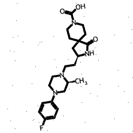 C[C@H]1CN(c2ccc(F)cc2)CCN1CC[C@H]1CC2(CCN(C(=O)O)CC2)C(=O)N1